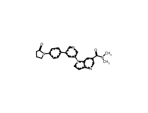 CN(C)C(=O)c1cnc2ccn(-c3cncc(-c4ccc(N5CCCC5=O)cc4)c3)c2c1